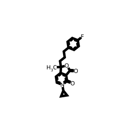 CC1(CCCc2ccc(F)cc2)OC(=O)c2c1ccn(C1CC1)c2=O